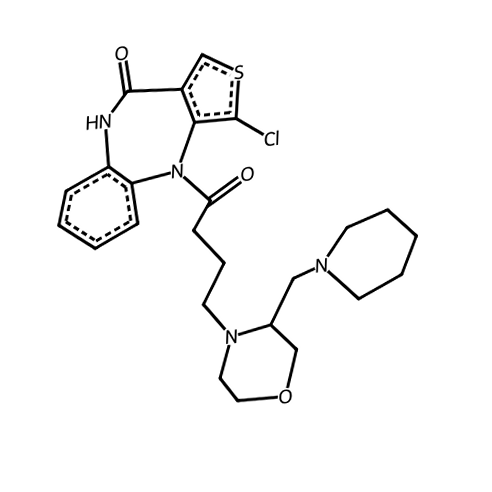 O=C1Nc2ccccc2N(C(=O)CCCN2CCOCC2CN2CCCCC2)c2c1csc2Cl